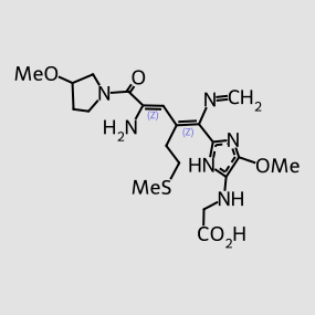 C=N/C(=C(\C=C(/N)C(=O)N1CCC(OC)C1)CCSC)c1nc(OC)c(NCC(=O)O)[nH]1